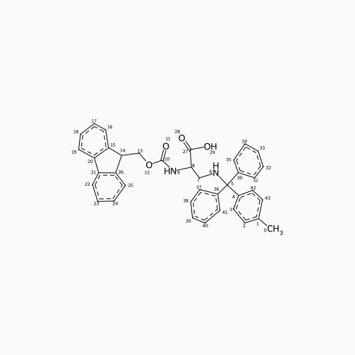 Cc1ccc(C(NCC(NC(=O)OCC2c3ccccc3-c3ccccc32)C(=O)O)(c2ccccc2)c2ccccc2)cc1